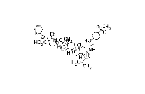 C=C(C)[C@@H]1CC[C@]2(NCCC3(O)CCC(S(C)(=O)=O)CC3)CC[C@]3(C)[C@H](CC[C@@H]4[C@@]5(C)CC=C(C6=CC(CC)C(COc7ccccn7)(C(=O)O)CC6)C(C)(C)[C@@H]5CC[C@]43C)[C@@H]12